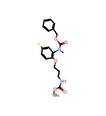 CN(C(=O)OCc1ccccc1)c1cc(F)ccc1OCCCNC(=O)OC(C)(C)C